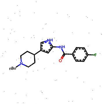 CCCCN1CCC(c2c[nH]c(NC(=O)c3ccc(F)cc3)c2)CC1